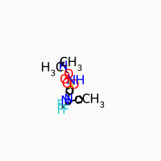 Cc1ccc(-c2cc(C(F)(F)F)nn2-c2ccc(S(=O)(=O)NC(=O)OCCN(C)C)cc2)cc1